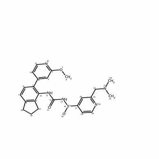 COc1cc(-c2ccc3c(c2NC(=O)N[S+]([O-])c2ccnc(CN(C)C)c2)CCC3)ccn1